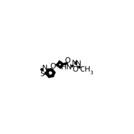 Cc1nnc(NC(=O)C2CC(Oc3cccc4scnc34)C2)o1